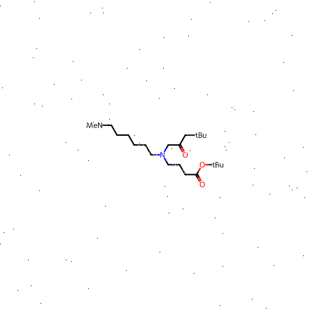 CNCCCCCCN(CCCC(=O)OC(C)(C)C)CC(=O)CC(C)(C)C